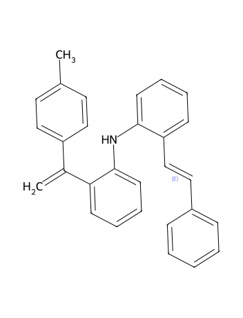 C=C(c1ccc(C)cc1)c1ccccc1Nc1ccccc1/C=C/c1ccccc1